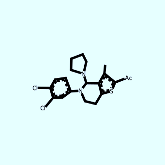 CC(=O)c1sc2c(c1C)C(N1CCCC1)N(c1ccc(Cl)c(Cl)c1)CC2